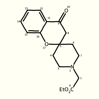 CCOC(=O)CN1CCC2(CC1)CC(=O)c1ccccc1O2